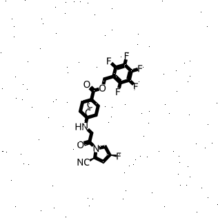 N#C[C@@H]1C[C@H](F)CN1C(=O)CNC12CCC(C(=O)OCc3c(F)c(F)c(F)c(F)c3F)(CC1)CC2